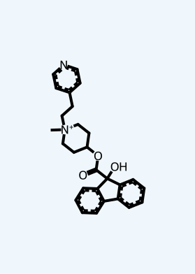 C[N+]1(CCc2ccncc2)CCC(OC(=O)C2(O)c3ccccc3-c3ccccc32)CC1